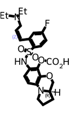 CCN(CC)C/C=C\c1cc(F)ccc1S(=O)(=O)Nc1ccc2c(c1OC(=O)O)OC[C@H]1CCCN21